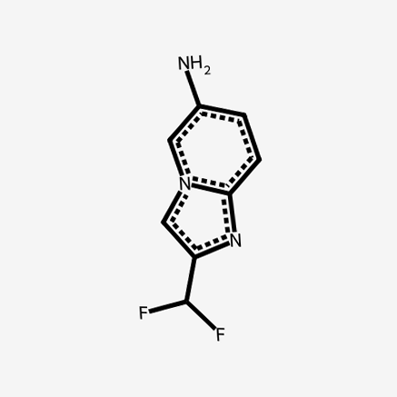 Nc1ccc2nc(C(F)F)cn2c1